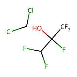 ClCCl.OC(F)(C(F)F)C(F)(F)F